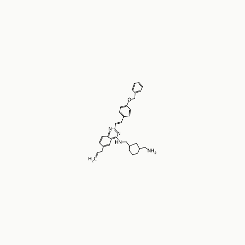 C=CCc1ccc2nc(C=Cc3ccc(OCc4ccccc4)cc3)nc(NCC3CCCC(CN)C3)c2c1